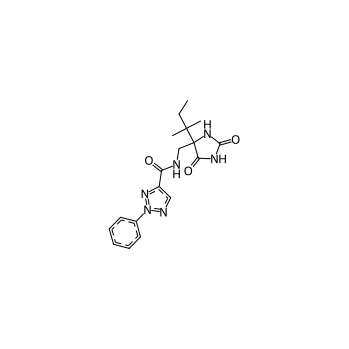 CCC(C)(C)C1(CNC(=O)c2cnn(-c3ccccc3)n2)NC(=O)NC1=O